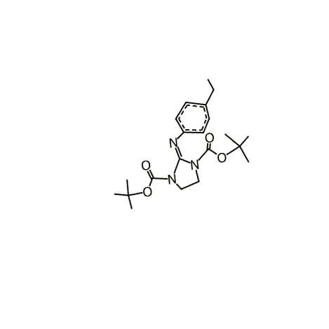 CCc1ccc(N=C2N(C(=O)OC(C)(C)C)CCN2C(=O)OC(C)(C)C)cc1